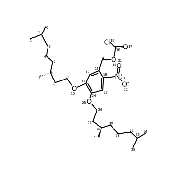 CC(C)CCC[C@@H](C)CCOc1cc(COC(=O)Cl)c([N+](=O)[O-])cc1OCC[C@H](C)CCCC(C)C